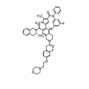 Cc1c(C(=O)N(c2ccccc2)c2cc(F)cc(C#N)c2)cc(-c2cc3c(cc2C(=O)N2Cc4ccccc4C[C@H]2C)CN(C(=O)Cc2ccc(OCCN4CCOCC4)cc2F)CC3)n1C